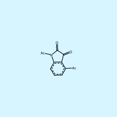 CC(=O)c1cccc2c1C(=O)C(=O)N2C(C)=O